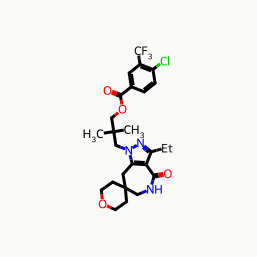 CCc1nn(CC(C)(C)COC(=O)c2ccc(Cl)c(C(F)(F)F)c2)c2c1C(=O)NCC1(CCOCC1)C2